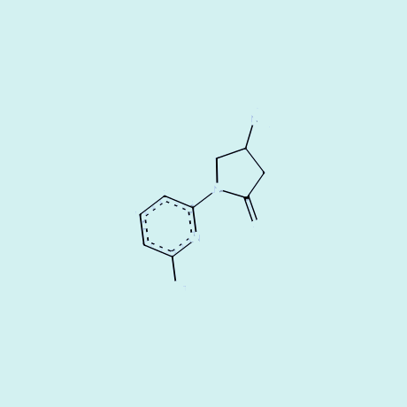 CC(C)c1cccc(N2CC(N)CC2=O)n1